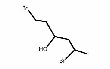 CC(Br)CC(O)CCBr